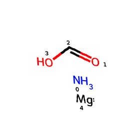 N.O=CO.[Mg]